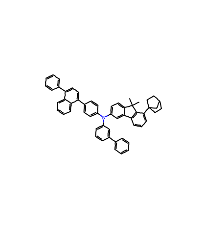 CC1(C)c2ccc(N(c3ccc(-c4ccc(-c5ccccc5)c5ccccc45)cc3)c3cccc(-c4ccccc4)c3)cc2-c2cccc(C34CCC(CC3)C4)c21